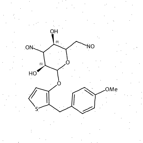 COc1ccc(Cc2sccc2OC2OC(CN=O)[C@H](O)C(N=O)[C@@H]2O)cc1